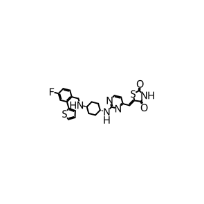 O=C1NC(=O)/C(=C/c2ccnc(N[C@H]3CC[C@H](NCc4ccc(F)cc4-c4cccs4)CC3)n2)S1